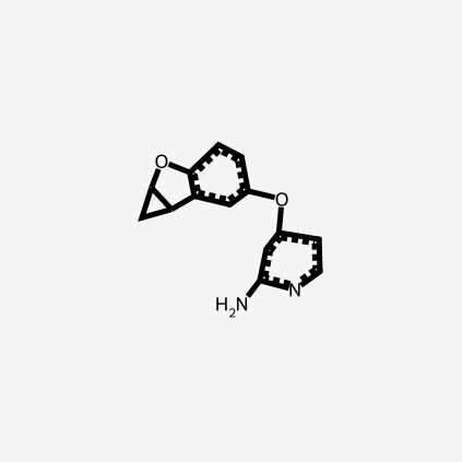 Nc1cc(Oc2ccc3c(c2)C2CC2O3)ccn1